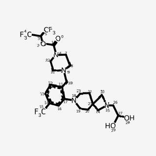 O=C(OC(C(F)(F)F)C(F)(F)F)N1CCN(Cc2ccc(C(F)(F)F)cc2N2CCC3(CC2)CN(CC(O)O)C3)CC1